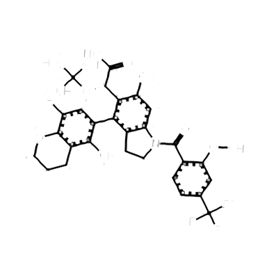 COc1cc(C(F)(F)F)ccc1C(=O)N1CCc2c1cc(C)c([C@H](OC(C)(C)C)C(=O)O)c2-c1cc(F)c2c(c1C)CCCO2